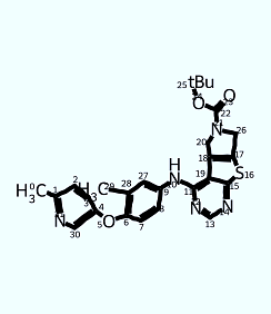 Cc1ccc(Oc2ccc(Nc3ncnc4sc5c(c34)CN(C(=O)OC(C)(C)C)C5)cc2C)cn1